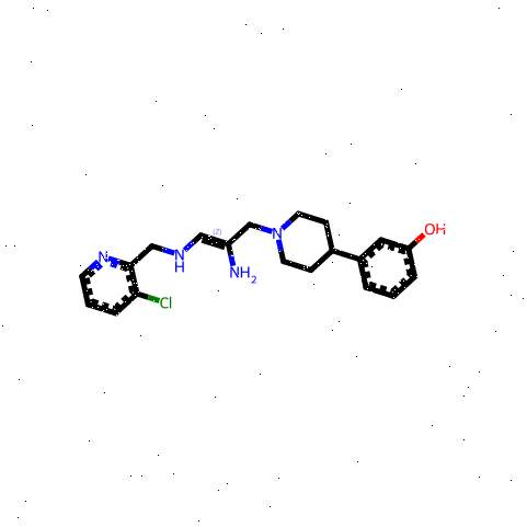 N/C(=C\NCc1ncccc1Cl)CN1CCC(c2cccc(O)c2)CC1